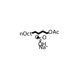 CCCCCCCCCCCCOC(C)=O.O=[S-](=O)O.[Na+]